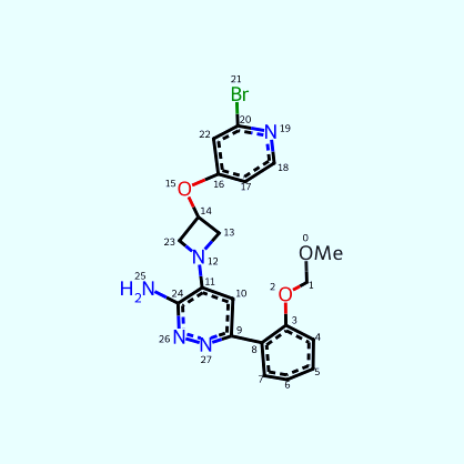 COCOc1ccccc1-c1cc(N2CC(Oc3ccnc(Br)c3)C2)c(N)nn1